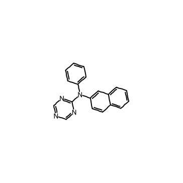 c1ccc(N(c2ccc3ccccc3c2)c2ncncn2)cc1